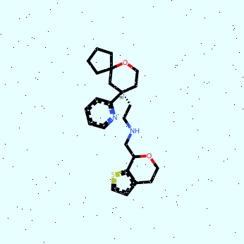 c1ccc([C@]2(CCNCC3OCCc4ccsc43)CCOC3(CCCC3)C2)nc1